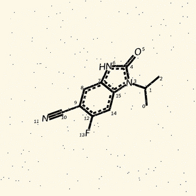 CC(C)n1c(=O)[nH]c2cc(C#N)c(F)cc21